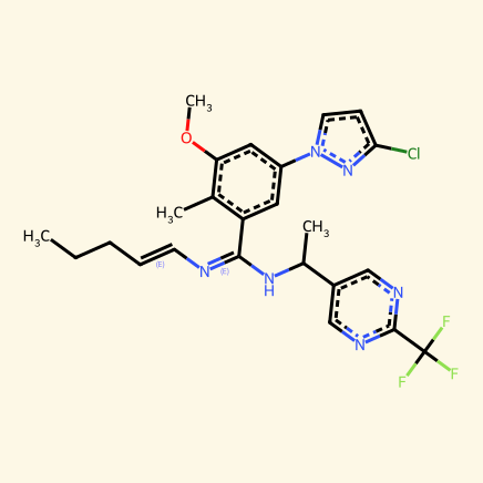 CCC/C=C/N=C(/NC(C)c1cnc(C(F)(F)F)nc1)c1cc(-n2ccc(Cl)n2)cc(OC)c1C